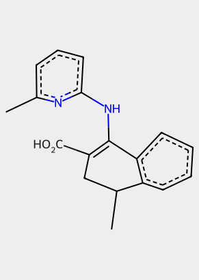 Cc1cccc(NC2=C(C(=O)O)CC(C)c3ccccc32)n1